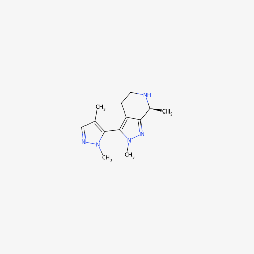 Cc1cnn(C)c1-c1c2c(nn1C)[C@H](C)NCC2